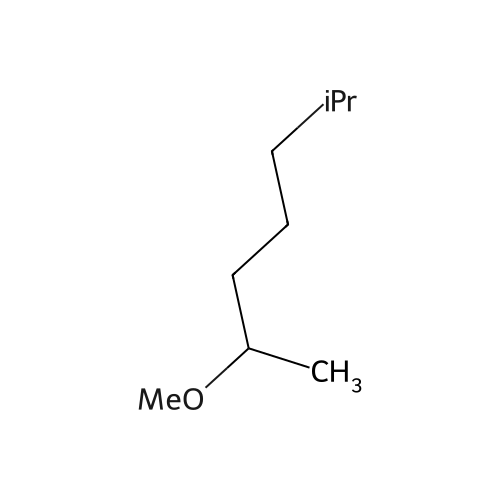 COC(C)CCCC(C)C